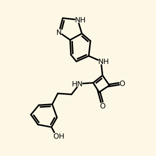 O=c1c(NCCc2cccc(O)c2)c(Nc2ccc3nc[nH]c3c2)c1=O